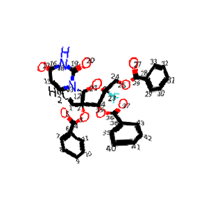 C=C[C@]1(OC(=O)c2ccccc2)[C@H](n2ccc(=O)[nH]c2=O)O[C@](F)(COC(=O)c2ccccc2)[C@H]1OC(=O)c1ccccc1